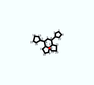 C1CCC(C(CC(C2CCCC2)C2CCCC2)C2CCCC2)C1